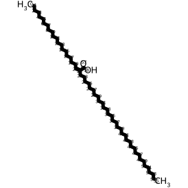 CCCCCCCCCCCCCCCCCCCCC=C(CCCCCCCCCCCCCCCCCCCCCCCCCCCCCCCCCC)C(=O)O